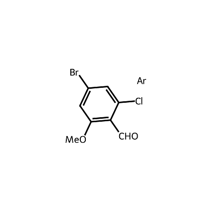 COc1cc(Br)cc(Cl)c1C=O.[Ar]